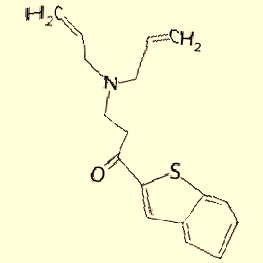 C=CCN(CC=C)CCC(=O)c1cc2ccccc2s1